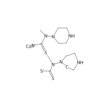 CN(C(=S)[S-])N1CCNCC1.CN(C(=S)[S-])N1CCNCC1.[Cd+2]